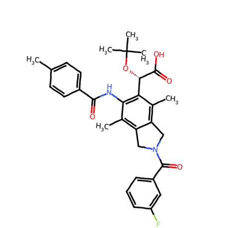 Cc1ccc(C(=O)Nc2c(C)c3c(c(C)c2[C@H](OC(C)(C)C)C(=O)O)CN(C(=O)c2cccc(F)c2)C3)cc1